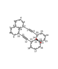 C(#Cc1cccc2cccc(C#Cc3ccccc3)c12)c1ccccc1